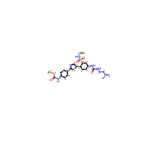 CC(C)OC(=O)Nc1ccc(-c2ncc(-c3ccc(NC(=O)NCCN(C)C)cc3S(=O)(=O)NC(C)(C)C)s2)cc1